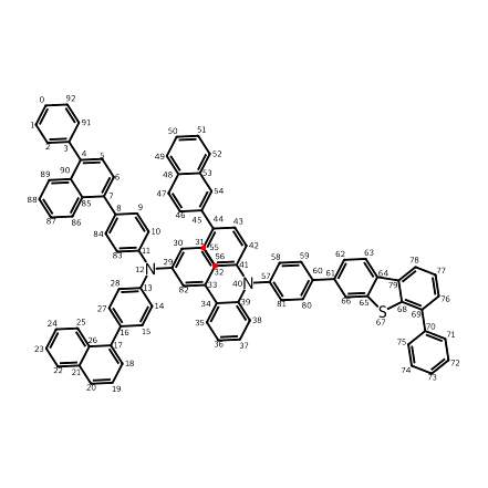 c1ccc(-c2ccc(-c3ccc(N(c4ccc(-c5cccc6ccccc56)cc4)c4cccc(-c5ccccc5N(c5ccc(-c6ccc7ccccc7c6)cc5)c5ccc(-c6ccc7c(c6)sc6c(-c8ccccc8)cccc67)cc5)c4)cc3)c3ccccc23)cc1